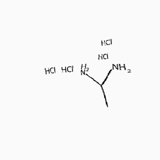 CC(N)N.Cl.Cl.Cl.Cl